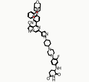 N#Cc1cnn2cc(-c3cnn([C@H]4CC[C@H](N5CCN(c6ccc(NC7CCC(=O)NC7=O)cc6F)CC5)CC4)c3)nc(-c3ccc(N4CC5COCC(C4)N5Cc4ccccn4)nc3)c12